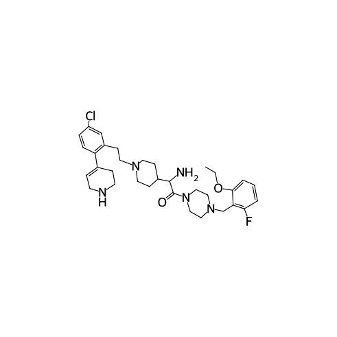 CCOc1cccc(F)c1CN1CCN(C(=O)C(N)C2CCN(CCc3cc(Cl)ccc3C3=CCNCC3)CC2)CC1